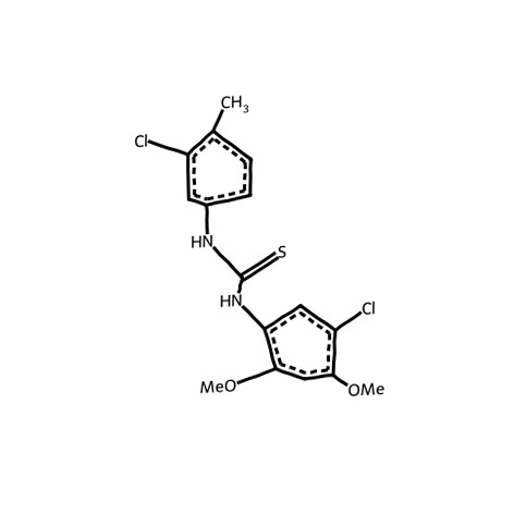 COc1cc(OC)c(NC(=S)Nc2ccc(C)c(Cl)c2)cc1Cl